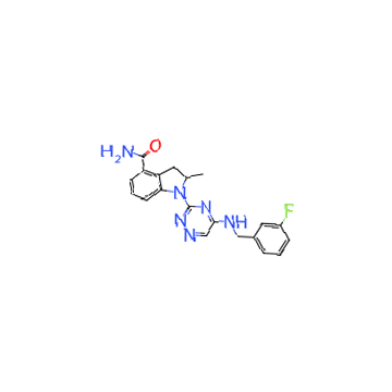 CC1Cc2c(C(N)=O)cccc2N1c1nncc(NCc2cccc(F)c2)n1